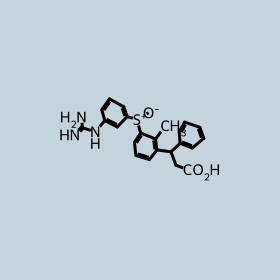 Cc1c(C(CC(=O)O)c2ccccc2)cccc1[S+]([O-])c1cccc(NC(=N)N)c1